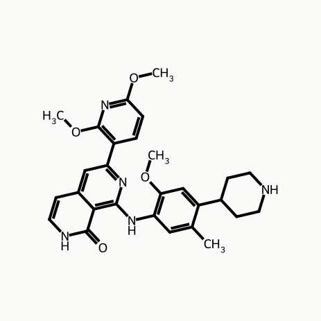 COc1ccc(-c2cc3cc[nH]c(=O)c3c(Nc3cc(C)c(C4CCNCC4)cc3OC)n2)c(OC)n1